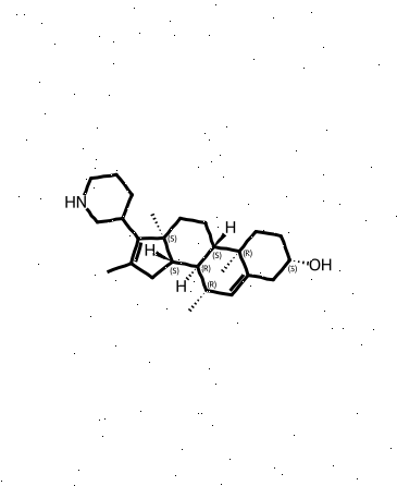 CC1=C(C2CCCNC2)[C@@]2(C)CC[C@H]3[C@@H]([C@@H](C)C=C4C[C@@H](O)CC[C@@]43C)[C@@H]2C1